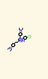 CCN(CC)c1ccc(C=CC2=CC(c3ccc(N(CC)CC)cc3)N(c3ccc(Cl)cc3)N2)cc1